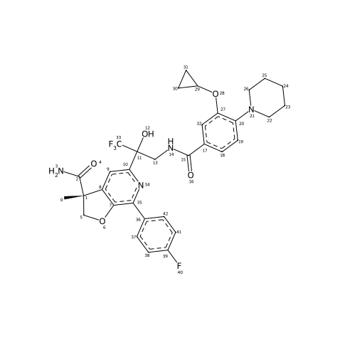 C[C@]1(C(N)=O)COc2c1cc(C(O)(CNC(=O)c1ccc(N3CCCCC3)c(OC3CC3)c1)C(F)(F)F)nc2-c1ccc(F)cc1